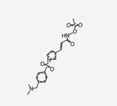 CN(C)Cc1ccc(S(=O)(=O)n2ccc(/C=C/C(=O)NOS(C)(=O)=O)c2)cc1